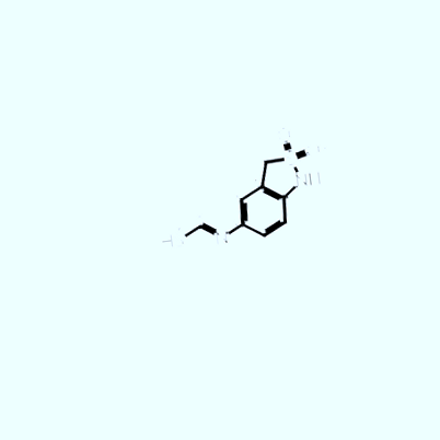 O=S1(=O)Cc2cc(N=CS)ccc2N1